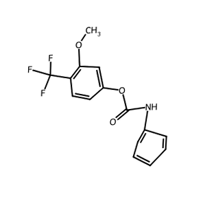 COc1cc(OC(=O)Nc2ccccc2)ccc1C(F)(F)F